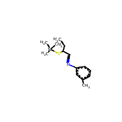 CCC(C=Nc1cccc(C)c1)S[Si](C)(C)C